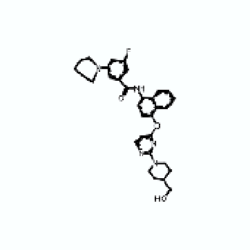 O=C(Nc1ccc(Oc2ccnc(N3CCC(CO)CC3)n2)c2ccccc12)c1cc(F)cc(N2CCCCC2)c1